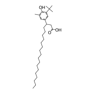 CCCCCCCCCCCCCCCCCC(CC(=O)O)c1cc(C)c(O)c(C(C)(C)C)c1